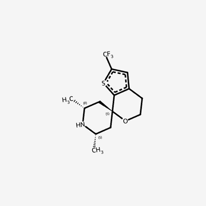 C[C@@H]1C[C@]2(C[C@H](C)N1)OCCc1cc(C(F)(F)F)sc12